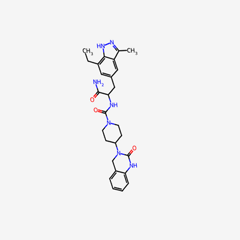 CCc1cc(CC(NC(=O)N2CCC(N3Cc4ccccc4NC3=O)CC2)C(N)=O)cc2c(C)n[nH]c12